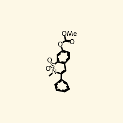 COC(=O)Oc1ccc2c(c1)S(=O)(=O)N(C)C(c1ccccc1)=C2